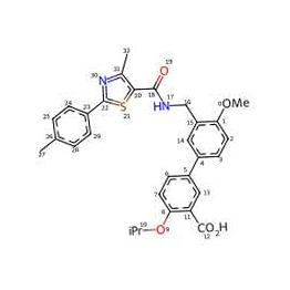 COc1ccc(-c2ccc(OC(C)C)c(C(=O)O)c2)cc1CNC(=O)c1sc(-c2ccc(C)cc2)nc1C